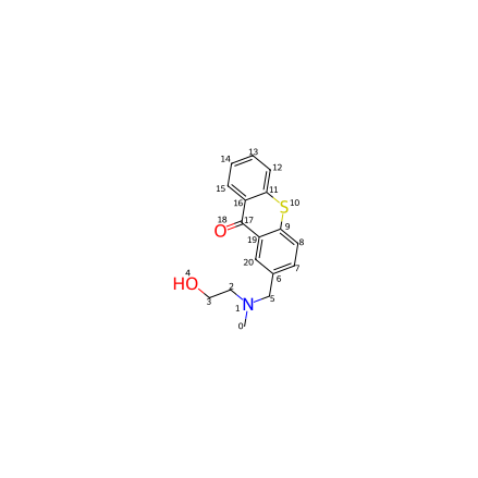 CN(CCO)Cc1ccc2sc3ccccc3c(=O)c2c1